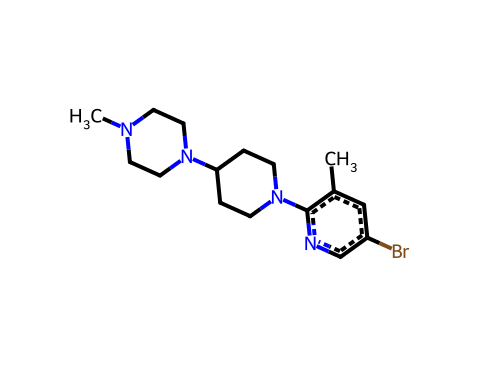 Cc1cc(Br)cnc1N1CCC(N2CCN(C)CC2)CC1